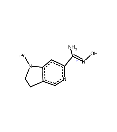 CC(C)N1CCc2cnc(/C(N)=N/O)cc21